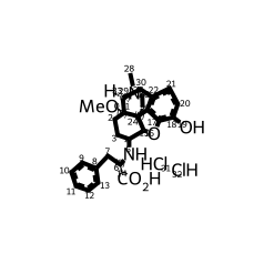 CO[C@@]12CCC(N[C@@H](Cc3ccccc3)C(=O)O)C3Oc4c(O)ccc5c4[C@@]31CCN(C)[C@@H]2C5.Cl.Cl